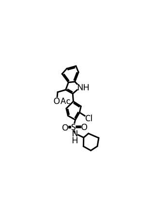 CC(=O)OCc1c(-c2ccc(S(=O)(=O)NC3CCCCC3)c(Cl)c2)[nH]c2ccccc12